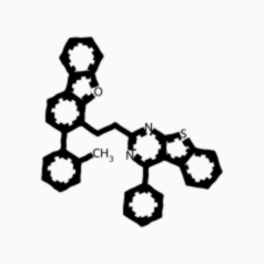 Cc1ccccc1-c1ccc2c(oc3ccccc32)c1CCc1nc(-c2ccccc2)c2c(n1)sc1ccccc12